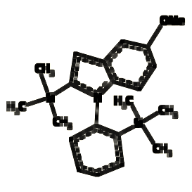 COc1ccc2c(c1)cc([Si](C)(C)C)n2-c1ccccc1[Si](C)(C)C